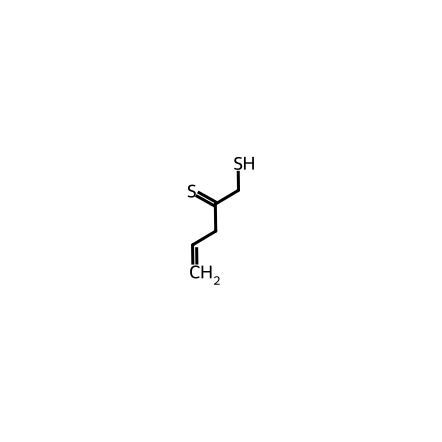 C=CCC(=S)CS